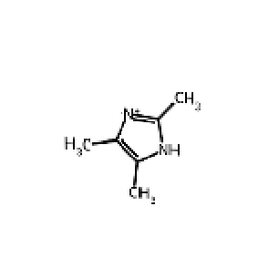 CC1=[N+]C(C)=C(C)N1